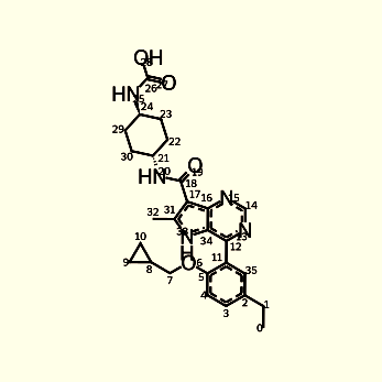 CCc1ccc(OCC2CC2)c(-c2ncnc3c(C(=O)N[C@H]4CC[C@H](NC(=O)O)CC4)c(C)[nH]c23)c1